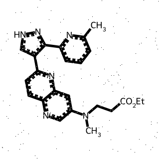 CCOC(=O)CCN(C)c1cnc2ccc(-c3c[nH]nc3-c3cccc(C)n3)nc2c1